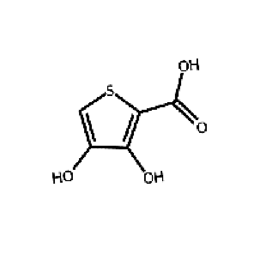 O=C(O)c1scc(O)c1O